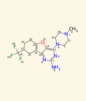 CN1CCN(c2nc(N)nc3c4c(oc23)CCC(C(F)(F)F)C4)CC1